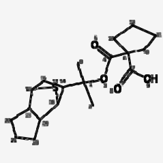 CC(C)(OC(=O)C1(C(=O)O)CCCC1)C1CC2SC1C1CCCC21